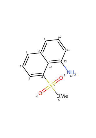 COS(=O)(=O)c1cccc2cccc(N)c12